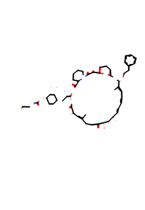 CO[C@@H]1C[C@H](C[C@@H](C)[C@@H]2CC(=O)[C@H](C)/C=C(\C)[C@@H](O)CC(=O)[C@H](C)C[C@H](C)/C=C/C=C/C=C(\C)C(OCCc3ccccc3)C[C@@H]3CC[C@@H](C)[C@@](O)(O3)C(=O)C(=O)N3CCCCC3C(=O)O2)CC[C@H]1OC(=O)NCCO